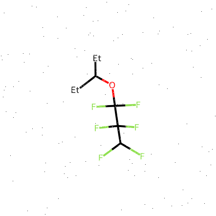 CCC(CC)OC(F)(F)C(F)(F)C(F)F